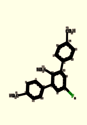 O=C(O)c1ccc(-c2cc(F)cc(-c3ccc(C(=O)O)cc3)c2S(=O)(=O)O)cc1